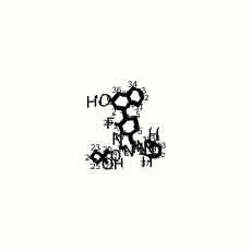 Oc1cc(-c2ccc3c(N4C[C@H]5CC[C@@H](C4)N5)nc(OCC4(O)CCC4)nc3c2F)c2ccccc2c1